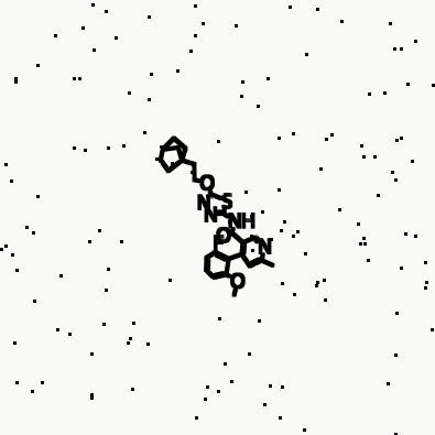 COc1cccc(F)c1-c1cc(C)ncc1C(=O)Nc1nnc(OCCC23CCC(CC2)C3)s1